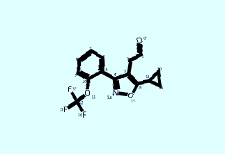 O=CCc1c(-c2ccccc2OC(F)(F)F)noc1C1CC1